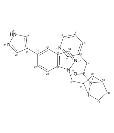 O=C(Cc1cccnc1)N1C2CCC1C(Cn1ncc3cc(-c4cn[nH]c4)ccc31)C2